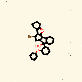 OC1(c2ccccc2Oc2ccccc2)c2ccccc2-c2c1cc(Br)c1c3c(oc21)CCC=C3